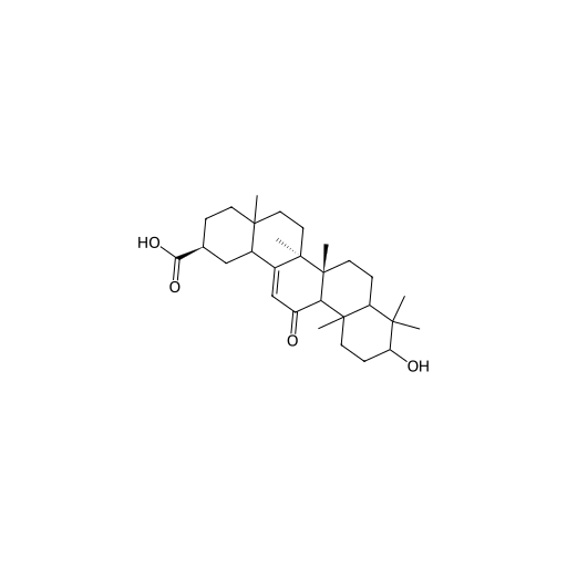 CC12CC[C@H](C(=O)O)CC1C1=CC(=O)C3C4(C)CCC(O)C(C)(C)C4CC[C@@]3(C)[C@]1(C)CC2